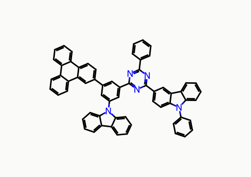 c1ccc(-c2nc(-c3cc(-c4ccc5c6ccccc6c6ccccc6c5c4)cc(-n4c5ccccc5c5ccccc54)c3)nc(-c3ccc4c(c3)c3ccccc3n4-c3ccccc3)n2)cc1